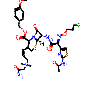 COc1ccc(COC(=O)C2=C(/C=C\C[N+](C)(C)CC(N)=O)CS[C@H]3[C@H](NC(=O)C(=NOCCCF)c4csc(NC(C)=O)n4)C(=O)N23)cc1